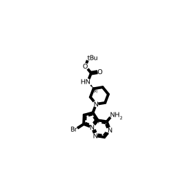 CC(C)(C)OC(=O)N[C@@H]1CCCN(c2cc(Br)n3ncnc(N)c23)C1